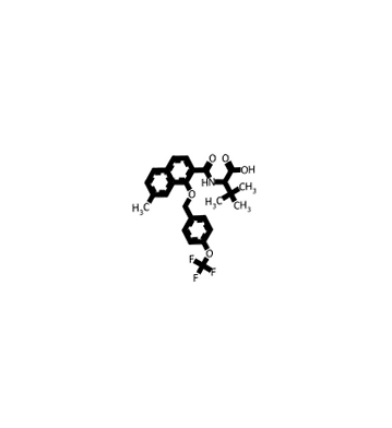 Cc1ccc2ccc(C(=O)NC(C(=O)O)C(C)(C)C)c(OCc3ccc(OC(F)(F)F)cc3)c2c1